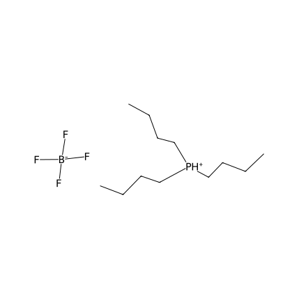 CCCC[PH+](CCCC)CCCC.F[B-](F)(F)F